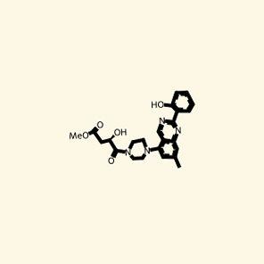 COC(=O)C[C@@H](O)C(=O)N1CCN(c2cc(C)cc3nc(-c4ccccc4O)ncc23)CC1